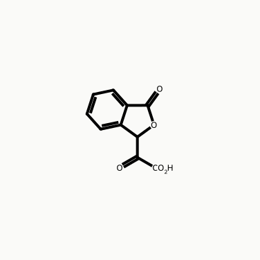 O=C(O)C(=O)C1OC(=O)c2ccccc21